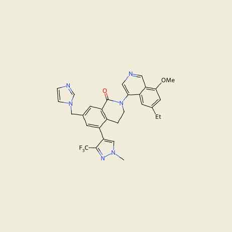 CCc1cc(OC)c2cncc(N3CCc4c(cc(Cn5ccnc5)cc4-c4cn(C)nc4C(F)(F)F)C3=O)c2c1